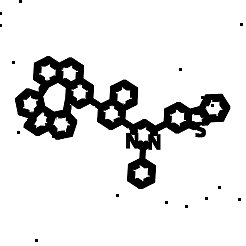 c1ccc(-c2nc(-c3ccc4c(c3)sc3ccccc34)cc(-c3ccc(-c4cc5ccc6cccc7c8cccc9ccc%10cccc(c(c4)c5c67)c%10c98)c4ccccc34)n2)cc1